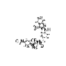 CN(C)c1nc(N[C@H]2CC[C@@H](CNC(=O)c3cnn(-c4ccc([N+](=O)[O-])cc4)c3C(F)(F)F)CC2)nc2ccccc12